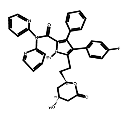 CC(C)n1c(CC[C@@H]2C[C@@H](O)CC(=O)O2)c(-c2ccc(F)cc2)c(-c2ccccc2)c1C(=O)N(c1ccccn1)c1ccccn1